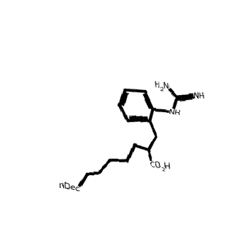 CCCCCCCCCCCCCCCC(Cc1ccccc1NC(=N)N)C(=O)O